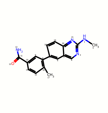 CNc1ncc2cc(-c3cc(C(N)=O)ccc3C)ccc2n1